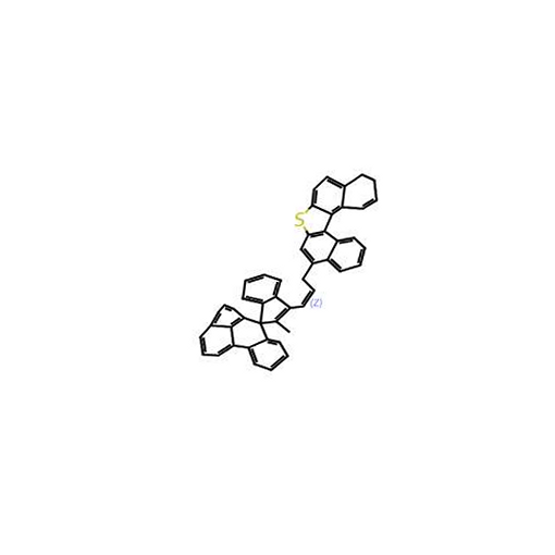 CC1=C(/C=C\Cc2cc3sc4ccc5c(c4c3c3ccccc23)C=CCC5)c2ccccc2C12c1ccccc1-c1cccc3cccc2c13